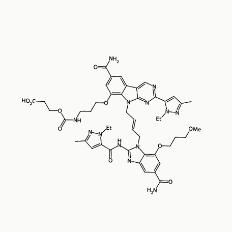 CCn1nc(C)cc1C(=O)Nc1nc2cc(C(N)=O)cc(OCCCOC)c2n1CC=CCn1c2nc(-c3cc(C)nn3CC)ncc2c2cc(C(N)=O)cc(OCCCNC(=O)OCCC(=O)O)c21